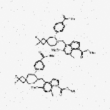 COC(=O)c1ccc([C@H]2CC3(CCN2Cc2c(OC)cc(C)c4c2ccn4C(=O)OC(C)(C)C)CC(F)(F)C3)cc1.COC(=O)c1ccc([C@H]2CC3(CCN2Cc2c(OC)cc(C)c4c2ccn4C(=O)OC(C)(C)C)CC(F)(F)C3)cc1